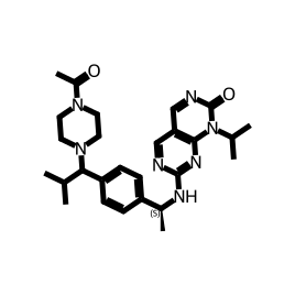 CC(=O)N1CCN(C(c2ccc([C@H](C)Nc3ncc4cnc(=O)n(C(C)C)c4n3)cc2)C(C)C)CC1